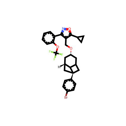 FC(F)(F)Oc1ccccc1-c1noc(C2CC2)c1CO[C@@H]1CC2C[C@]3(c4ccc(Br)cc4)C[C@H](C1)C23